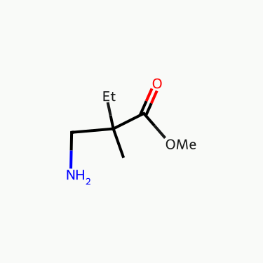 CCC(C)(CN)C(=O)OC